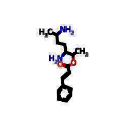 CC(N)CCC(N)C(C)OC(=O)C=Cc1ccccc1